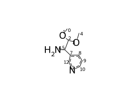 COC(OC)C(N)c1cccnc1